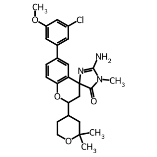 COc1cc(Cl)cc(-c2ccc3c(c2)C2(CC(C4CCOC(C)(C)C4)O3)N=C(N)N(C)C2=O)c1